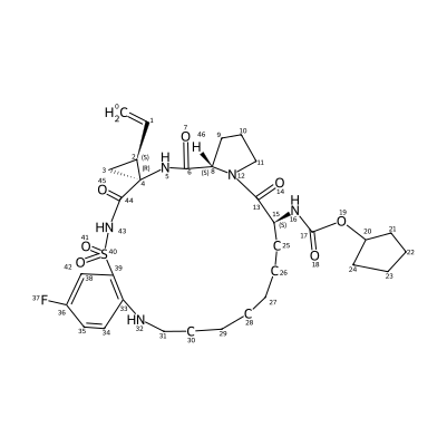 C=C[C@@H]1C[C@@]12NC(=O)[C@@H]1CCCN1C(=O)[C@@H](NC(=O)OC1CCCC1)CCCCCCCNc1ccc(F)cc1S(=O)(=O)NC2=O